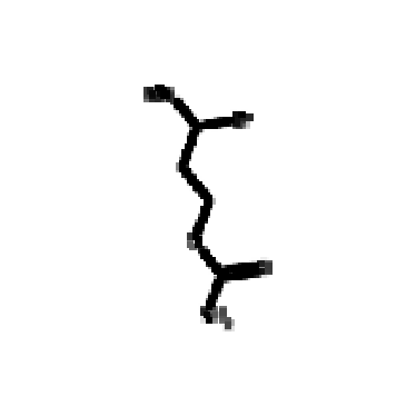 CCCCC(Br)CCOC(N)=O